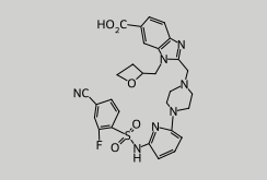 N#Cc1ccc(S(=O)(=O)Nc2cccc(N3CCN(Cc4nc5ccc(C(=O)O)cc5n4CC4CCO4)CC3)n2)c(F)c1